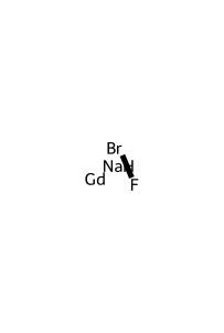 FBr.[Gd].[NaH]